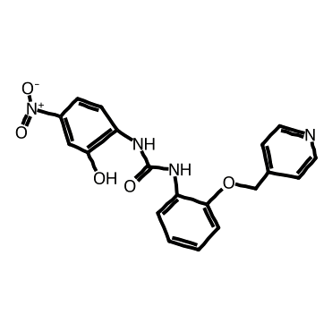 O=C(Nc1ccc([N+](=O)[O-])cc1O)Nc1ccccc1OCc1ccncc1